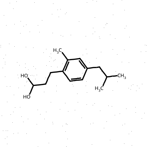 Cc1cc(CC(C)C)ccc1CCC(O)O